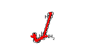 CCCCc1c2c(nc3cc4c(cc13)OCO4)-c1cc3c(c(=O)n1C2)COC(=O)[C@H]3OC(=O)OCc1ccc(NC(=O)[C@H](CCCCN)NC(=O)CCOCCOCCOCCOCCOCCOCCOCCOCCNC(=O)CCN2C(=O)C=CC2=O)cc1